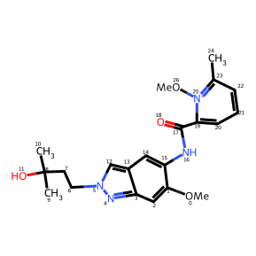 COc1cc2nn(CCC(C)(C)O)cc2cc1NC(=O)c1cccc(C)[n+]1OC